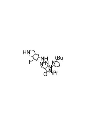 CC(C)n1c(=O)c2cnc(Nc3cc(F)c4c(c3)CCNC4)nc2n1-c1cccc(C(C)(C)C)n1